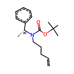 C=CCCCN(C(=O)OC(C)(C)C)[C@H](C)c1ccccc1